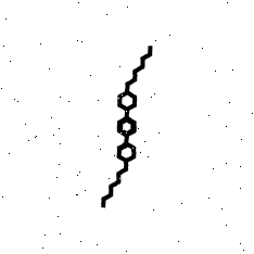 CCCCCCCC1CC=C(c2ccc(C3CCC(CCCCCCC)CC3)cc2)CC1